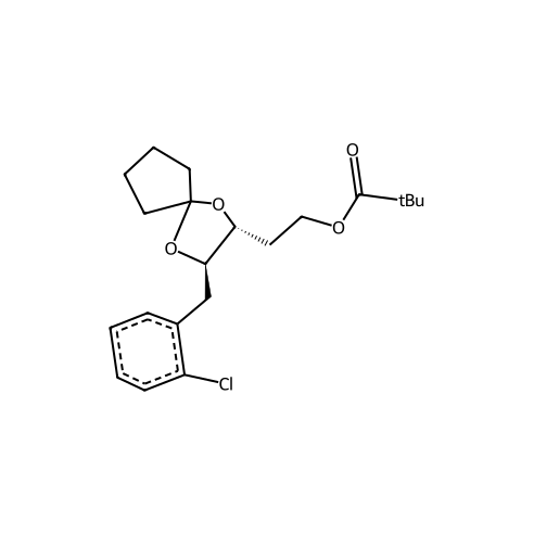 CC(C)(C)C(=O)OCC[C@H]1OC2(CCCC2)O[C@@H]1Cc1ccccc1Cl